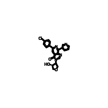 O=c1c2cc(-c3ccc(Cl)cc3)nc(-c3cccnc3)c2ncn1C1COC[C@H]1O